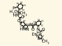 CCn1nc(C)cc1C(=O)Nc1ccccc1C(=O)Nc1n[nH]c2sc(OC(=O)NC(C)(C)c3ccccc3F)cc12